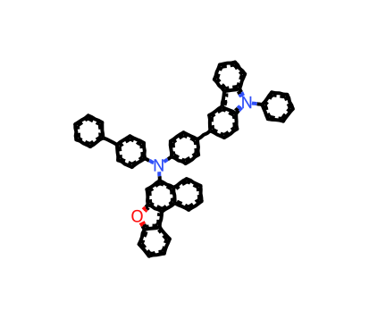 c1ccc(-c2ccc(N(c3ccc(-c4ccc5c(c4)c4ccccc4n5-c4ccccc4)cc3)c3cc4oc5ccccc5c4c4ccccc34)cc2)cc1